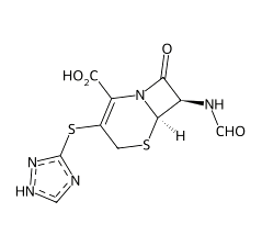 O=CN[C@@H]1C(=O)N2C(C(=O)O)=C(Sc3nc[nH]n3)CS[C@H]12